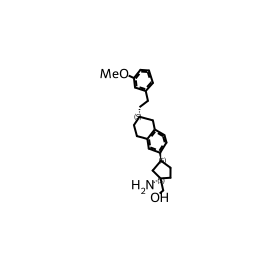 COc1cccc(CC[C@H]2CCc3cc([C@H]4CC[C@@](N)(CO)C4)ccc3C2)c1